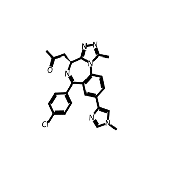 CC(=O)C[C@@H]1N=C(c2ccc(Cl)cc2)c2cc(-c3cn(C)cn3)ccc2-n2c(C)nnc21